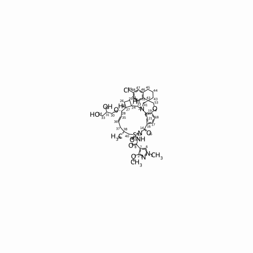 COc1nn(C)cc1C(=O)N[S@@]1(=O)=NC(=O)c2ccc3c(c2)N(C[C@@H]2CC[C@H]2[C@@H](OCC(O)CO)/C=C/C[C@H](C)C1)C[C@@]1(CCCc2cc(Cl)ccc21)CO3